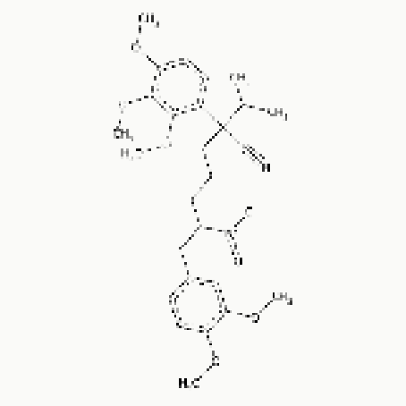 COc1ccc(CC(CCCC(C#N)(c2ccc(OC)c(OC)c2OC)C(C)C)[N+](=O)[O-])cc1OC